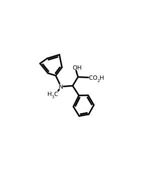 CN(c1ccccc1)C(c1ccccc1)C(O)C(=O)O